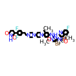 CCc1cc(Nc2ncc(Br)c(Nc3cnc4cc(F)ccc4c3P(C)(C)=O)n2)c(OC)cc1N1CCC(N2CCN(CCc3cc(F)c(C4CCC(=O)NC4=O)c(F)c3)CC2)CC1